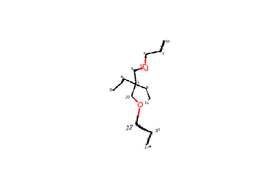 CCCOCC(CC)(CC)COCCC